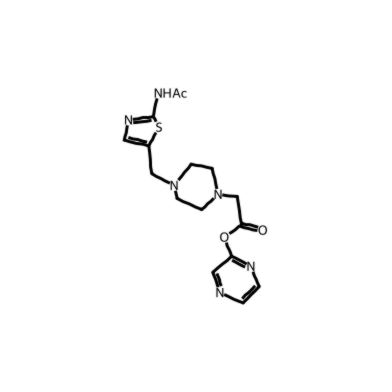 CC(=O)Nc1ncc(CN2CCN(CC(=O)Oc3cnccn3)CC2)s1